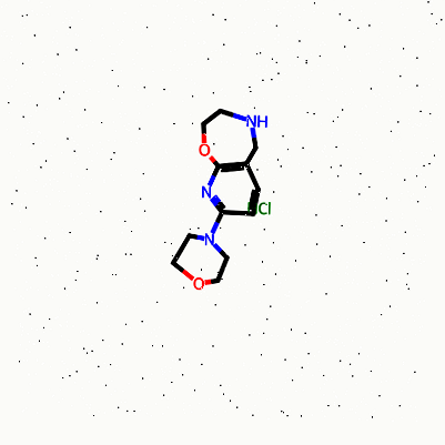 Cl.c1cc2c(nc1N1CCOCC1)OCCNC2